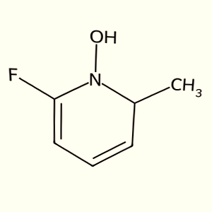 CC1C=CC=C(F)N1O